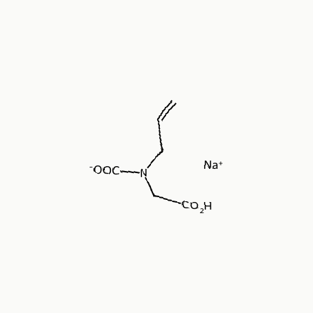 C=CCN(CC(=O)O)C(=O)[O-].[Na+]